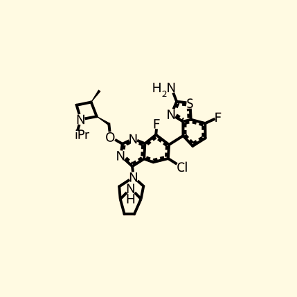 CC(C)N1C[C@@H](C)[C@H]1COc1nc(N2CC3CCC(C2)N3)c2cc(Cl)c(-c3ccc(F)c4sc(N)nc34)c(F)c2n1